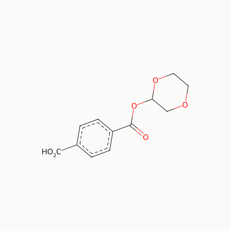 O=C(O)c1ccc(C(=O)OC2COCCO2)cc1